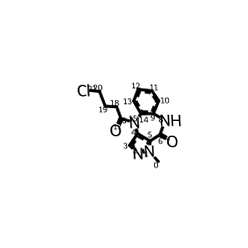 Cn1ncc2c1C(=O)Nc1ccccc1N2C(=O)CCCCl